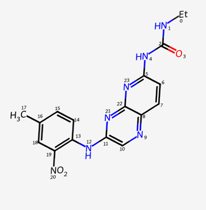 CCNC(=O)Nc1ccc2ncc(Nc3ccc(C)cc3[N+](=O)[O-])nc2n1